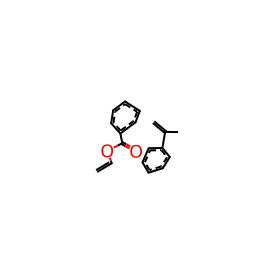 C=C(C)c1ccccc1.C=COC(=O)c1ccccc1